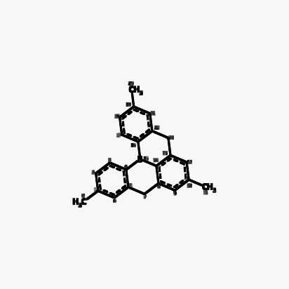 Cc1ccc2c(c1)Cc1cc(C)cc3c1B2c1ccc(C)cc1C3